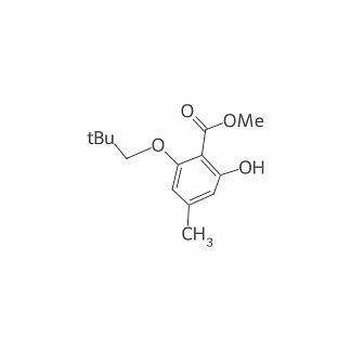 COC(=O)c1c(O)cc(C)cc1OCC(C)(C)C